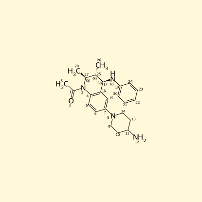 CC(=O)N1c2ccc(N3CCC(N)CC3)cc2[C@H](Nc2ccccc2)[C@@H](C)[C@@H]1C